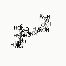 CC(=O)N[C@@H](CS)C(=O)NCC(=O)N[C@@H](CS)C(=O)N[C@@H](CCC(=O)O)C(=O)NCC(=O)N1CCN(CCCN(C)c2ccc3nccc(C(=O)NCC(=O)C4CC(F)(F)C[C@H]4C#N)c3c2)CC1